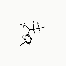 Cc1ccc(C(N)C(F)(F)C(F)(F)F)o1